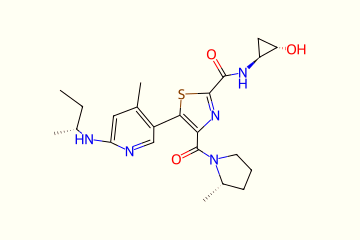 CC[C@@H](C)Nc1cc(C)c(-c2sc(C(=O)N[C@H]3C[C@@H]3O)nc2C(=O)N2CCC[C@@H]2C)cn1